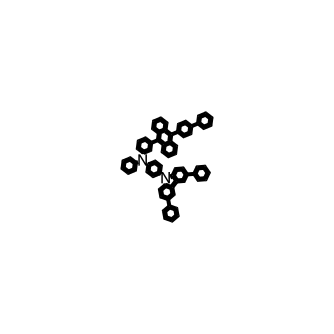 c1ccc(-c2ccc(-c3c4ccccc4c(-c4cccc(N(c5ccccc5)c5ccc(-n6c7ccc(-c8ccccc8)cc7c7cc(-c8ccccc8)ccc76)cc5)c4)c4ccccc34)cc2)cc1